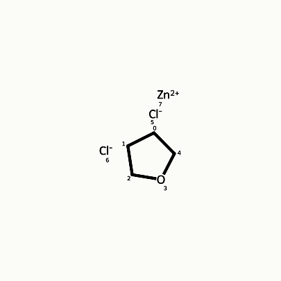 C1CCOC1.[Cl-].[Cl-].[Zn+2]